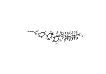 CCCCCC(=O)Oc1ccc(-c2cnc(-c3ccc4c(c3F)C(F)(F)C(C(F)(F)C(F)(F)C(F)(F)C(F)(F)C(F)(F)C(F)(F)C(F)(F)F)O4)nc2)cc1